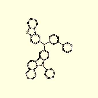 c1ccc(-c2cccc(N(c3ccc4sc5ccccc5c4c3)c3ccc4c(c3)c3ccc5ccccc5c3n4-c3ccccc3)c2)cc1